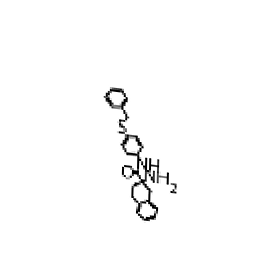 NC1(C(=O)Nc2ccc(SCc3ccccc3)cc2)CCc2ccccc2C1